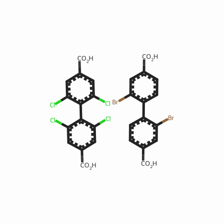 O=C(O)c1cc(Cl)c(-c2c(Cl)cc(C(=O)O)cc2Cl)c(Cl)c1.O=C(O)c1ccc(-c2ccc(C(=O)O)cc2Br)c(Br)c1